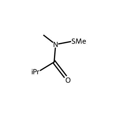 CSN(C)C(=O)C(C)C